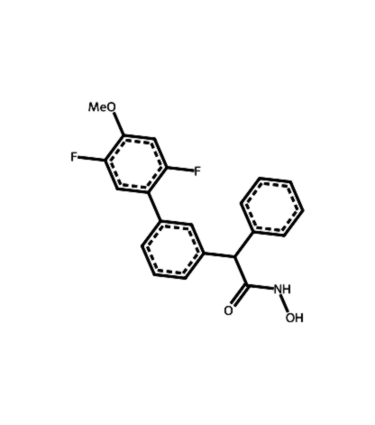 COc1cc(F)c(-c2cccc(C(C(=O)NO)c3ccccc3)c2)cc1F